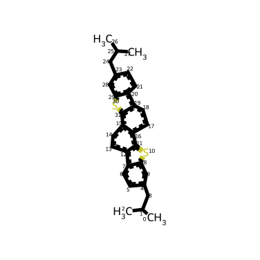 CC(C)Cc1ccc2c(c1)sc1c2ccc2c1ccc1c3ccc(CC(C)C)cc3sc12